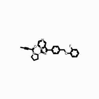 CC#CC(=O)N1CCC[C@H]1c1nc(-c2ccc(COc3ccccc3F)cc2)c2cnccn12